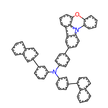 c1cc(-c2ccc3ccccc3c2)cc(N(c2ccc(-c3ccc4c(c3)c3cccc5c3n4-c3ccccc3O5)cc2)c2cccc(-c3cccc4ccccc34)c2)c1